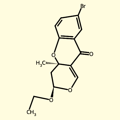 CCO[C@H]1C[C@@]2(C)Oc3ccc(Br)cc3C(=O)C2=CO1